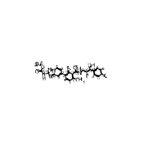 Cc1ccc(-c2ccn3nc(NC(=O)OC(C)(C)C)nc3c2)c(F)c1C(=O)NCC(F)C(O)c1ccc(Cl)cc1